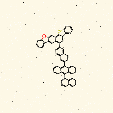 c1ccc2c(-c3c4ccccc4c(-c4ccc5cc(-c6cc7c8ccccc8sc7c7cc8oc9ccccc9c8cc67)ccc5c4)c4ccccc34)cccc2c1